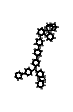 c1ccc(-c2ccc(N(c3ccc(-c4ccc(-c5ccc(-c6cccc7c6-c6ccccc6C76C7CC8CC(C7)CC6C8)cc5)cc4)cc3)c3ccc4sc5ccccc5c4c3)cc2)cc1